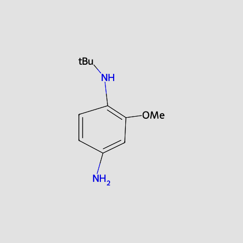 COc1cc(N)ccc1NC(C)(C)C